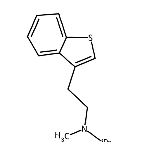 CC(C)N(C)CCc1csc2ccccc12